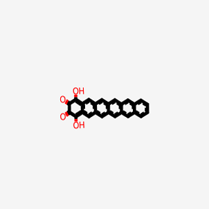 O=C1C(=O)C(O)=c2cc3cc4cc5cc6ccccc6cc5cc4cc3cc2=C1O